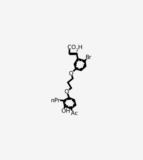 CCCc1c(OCCCOc2ccc(Br)c(C=CC(=O)O)c2)ccc(C(C)=O)c1O